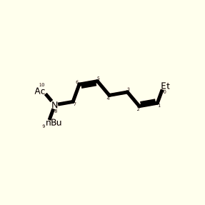 CC/C=C\CC/C=C\CN(CCCC)C(C)=O